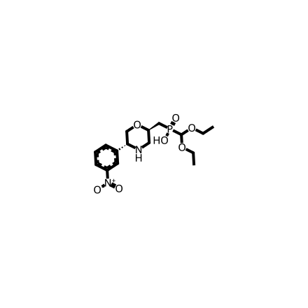 CCOC(OCC)P(=O)(O)C[C@H]1CN[C@H](c2cccc([N+](=O)[O-])c2)CO1